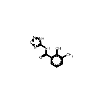 Cc1cccc(C(=O)Nc2nnn[nH]2)c1O